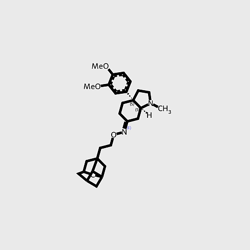 COc1ccc([C@@]23CC/C(=N\OCCC45CC6CC7CC(C6)(C4)C75)C[C@@H]2N(C)CC3)cc1OC